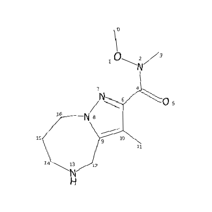 CON(C)C(=O)c1nn2c(c1C)CNCCC2